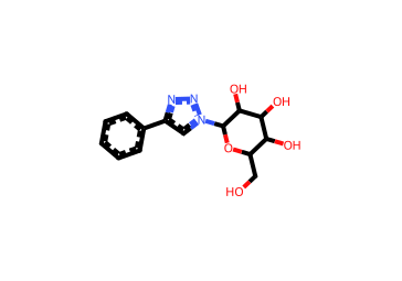 OCC1OC(n2cc(-c3ccccc3)nn2)C(O)C(O)C1O